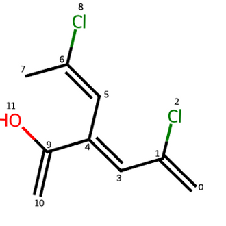 C=C(Cl)/C=C(\C=C(/C)Cl)C(=C)O